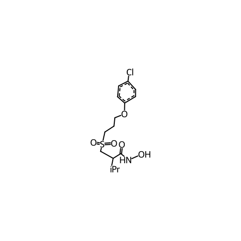 CC(C)C(CS(=O)(=O)CCCOc1ccc(Cl)cc1)C(=O)NO